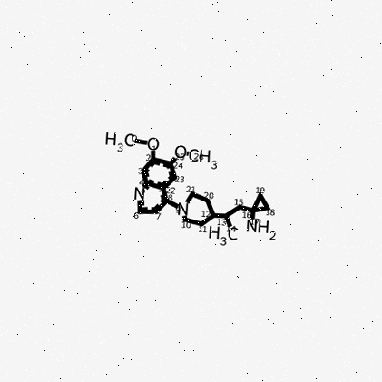 COc1cc2nccc(N3CCC(C(C)CC4(N)CC4)CC3)c2cc1OC